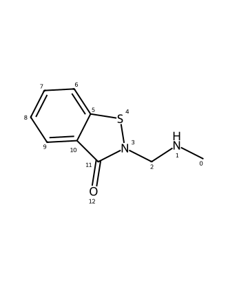 CNCn1sc2ccccc2c1=O